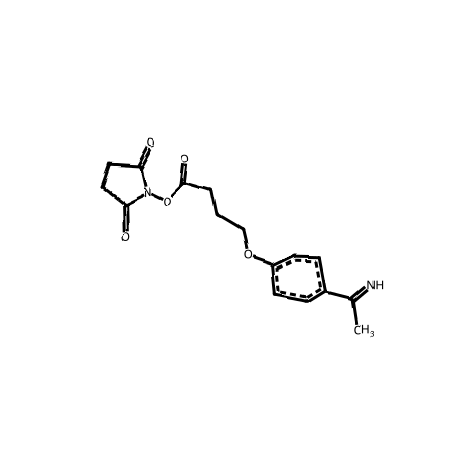 CC(=N)c1ccc(OCCCC(=O)ON2C(=O)CCC2=O)cc1